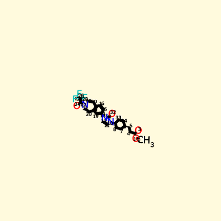 COC(=O)CC[C@H]1CC[C@H](n2ccn(-c3ccc4c(c3)CCN(C(=O)C(F)(F)F)CC4)c2=O)CC1